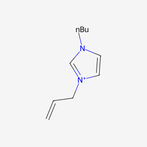 C=CC[n+]1ccn(CCCC)c1